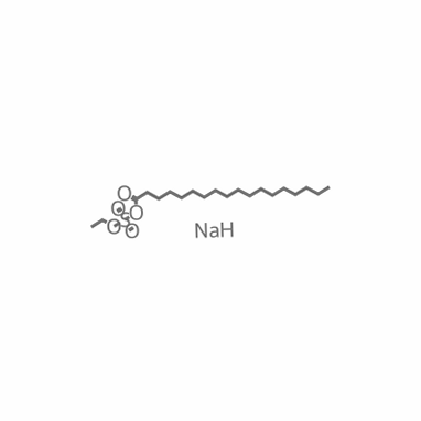 CCCCCCCCCCCCCCCCCC(=O)OS(=O)(=O)OCC.[NaH]